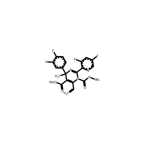 C=CC1=C(C(=O)OC)C(C)(c2ccc(F)c(F)c2)N=C(c2ncc(F)cc2F)N1C(=O)OC(C)(C)C